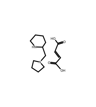 C1CCC(CN2CCCC2)NC1.O=C(O)C=CC(=O)O